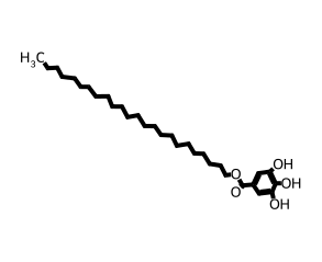 CCCCCCCCCCCCCCCCCCCCCCCCOC(=O)c1cc(O)c(O)c(O)c1